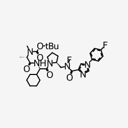 C[C@@H](C(=O)N[C@H](C(=O)N1CCC[C@H]1CN(F)C(=O)c1cn(-c2ccc(F)cc2)cn1)C1CCCCC1)N(C)C(=O)OC(C)(C)C